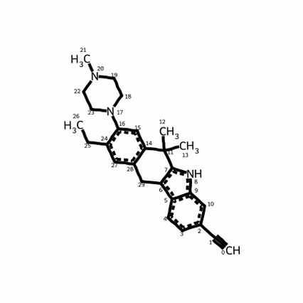 C#Cc1ccc2c3c([nH]c2c1)C(C)(C)c1cc(N2CCN(C)CC2)c(CC)cc1C3